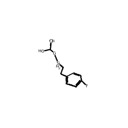 OC(O)O[SiH2]CCc1ccc(F)cc1